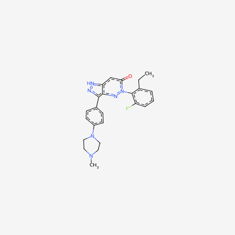 CCc1cccc(F)c1-n1nc2c(-c3ccc(N4CCN(C)CC4)cc3)n[nH]c2cc1=O